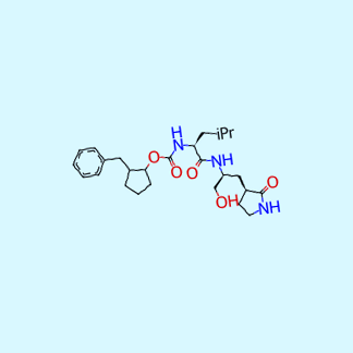 CC(C)C[C@H](NC(=O)OC1CCCC1Cc1ccccc1)C(=O)N[C@H](CO)C[C@@H]1CCNC1=O